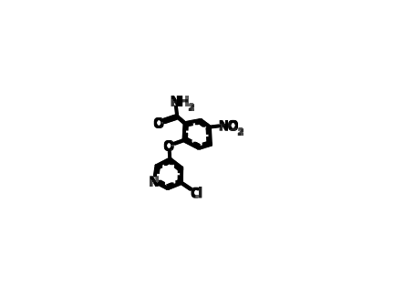 NC(=O)c1cc([N+](=O)[O-])ccc1Oc1cncc(Cl)c1